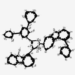 c1ccc(-c2cc(C3=NC(c4cccc5c4sc4ccccc45)NC(c4ccc5c(c4)sc4cccc(-c6ccccc6)c45)N3)cc(-c3ccccc3)c2)cc1